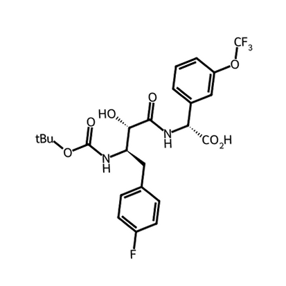 CC(C)(C)OC(=O)N[C@H](Cc1ccc(F)cc1)[C@H](O)C(=O)N[C@@H](C(=O)O)c1cccc(OC(F)(F)F)c1